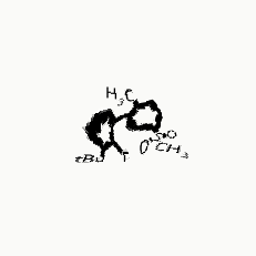 Cc1ccc(S(C)(=O)=O)cc1-c1cccc(C(C)(C)C)c1F